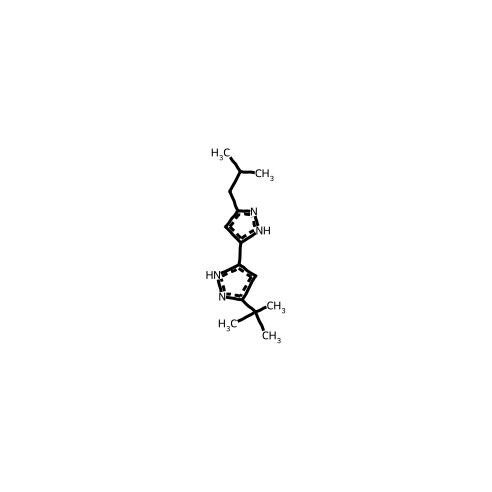 CC(C)Cc1cc(-c2cc(C(C)(C)C)n[nH]2)[nH]n1